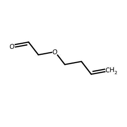 C=CCCOCC=O